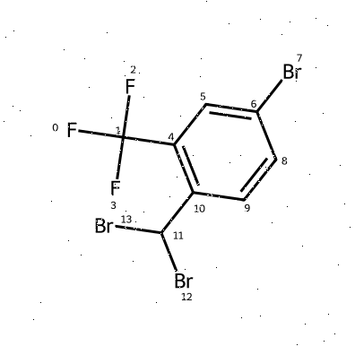 FC(F)(F)c1cc(Br)ccc1C(Br)Br